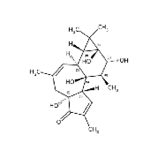 CC1=C[C@H]2[C@@H]3C(C)(C)[C@]3(O)[C@H](O)[C@@H](C)[C@]2(O)[C@@H]2C=C(C)C(=O)[C@@]2(O)C1